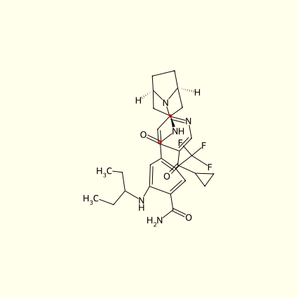 CCC(CC)Nc1cc(C(=O)N[C@H]2C[C@H]3CC[C@@H](C2)N3c2ccc(C(=O)C3CC3)cn2)c(C(F)(F)F)cc1C(N)=O